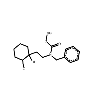 CC(C)(C)OC(=O)N(CCC1(O)CCCCC1Cl)Cc1ccccc1